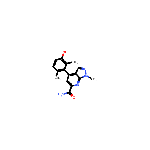 Cc1ccc(O)c(C)c1-c1cc(C(N)=O)nc2c1cnn2C